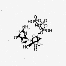 C#C[C@]1(O)[C@H](n2cnc3c(=O)[nH]c(N)nc32)O[C@@]2(COP(=O)(O)OP(=O)(O)OP(=O)(O)O)C[C@@]21O